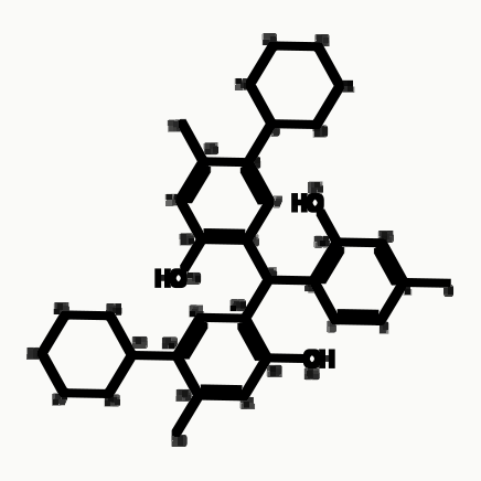 Cc1ccc(C(c2cc(C3CCCCC3)c(C)cc2O)c2cc(C3CCCCC3)c(C)cc2O)c(O)c1